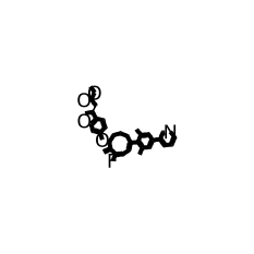 C=C1/C(F)=C\C=C(\c2c(C)cc(-c3cccnc3)cc2C)CCC[C@H]1Oc1ccc2c(c1)OC[C@H]2CC(=O)OC